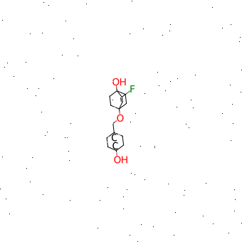 OC12CCC(COC34C=C(F)C(O)(CC3)CC4)(CC1)CC2